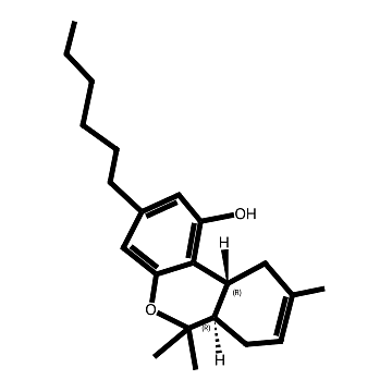 CCCCCCc1cc(O)c2c(c1)OC(C)(C)[C@@H]1CC=C(C)C[C@@H]21